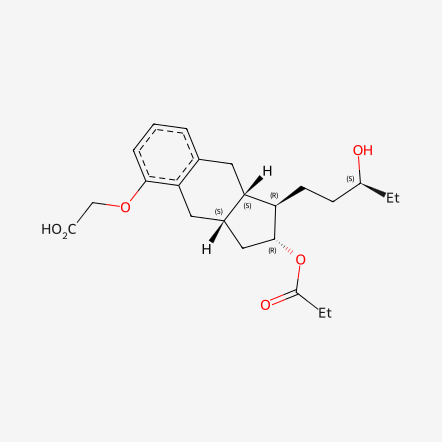 CCC(=O)O[C@@H]1C[C@@H]2Cc3c(cccc3OCC(=O)O)C[C@@H]2[C@H]1CC[C@@H](O)CC